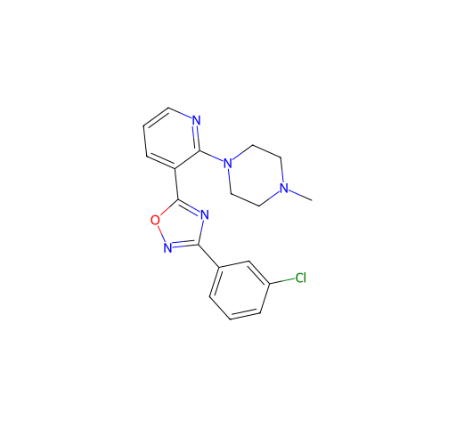 CN1CCN(c2ncccc2-c2nc(-c3cccc(Cl)c3)no2)CC1